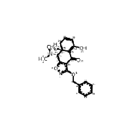 CN(C)[C@H]1c2onc(OCc3ccccc3)c2C(=O)C2=C(O)C=CC[C@]21C